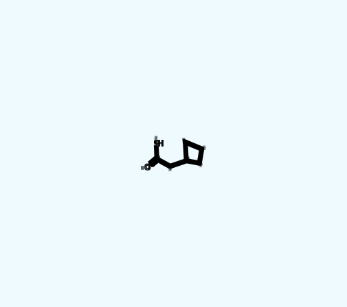 O=C(S)CC1CCC1